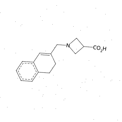 O=C(O)C1CN(CC2=Cc3ccccc3CC2)C1